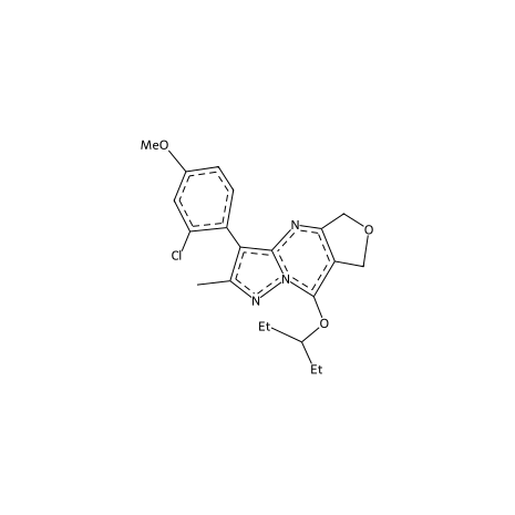 CCC(CC)Oc1c2c(nc3c(-c4ccc(OC)cc4Cl)c(C)nn13)COC2